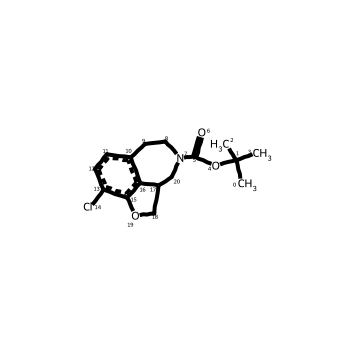 CC(C)(C)OC(=O)N1CCc2ccc(Cl)c3c2C(CO3)C1